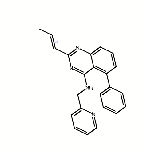 C/C=C/c1nc(NCc2ccccn2)c2c(-c3ccccc3)cccc2n1